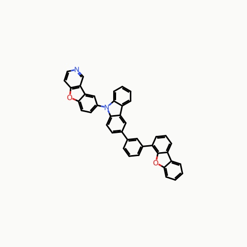 c1cc(-c2ccc3c(c2)c2ccccc2n3-c2ccc3oc4ccncc4c3c2)cc(-c2cccc3c2oc2ccccc23)c1